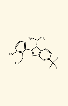 CCc1c(S)cccc1-c1nc2cc(C(F)(F)F)cnc2n1C(C)C